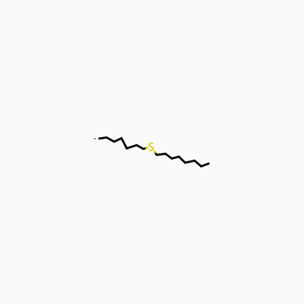 [CH2]CCCCCCSCCCCCCCC